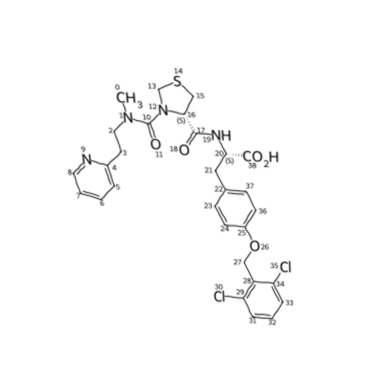 CN(CCc1ccccn1)C(=O)N1CSC[C@@H]1C(=O)N[C@@H](Cc1ccc(OCc2c(Cl)cccc2Cl)cc1)C(=O)O